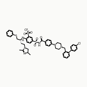 CC1=NC(C)CN1CC[C@H](CSc1ccccc1)Nc1ccc(S(=O)(=O)NC(=O)c2ccc(N3CCN(Cc4ccccc4-c4ccc(Cl)cc4)CC3)cc2)cc1S(=O)(=O)C(F)(F)F